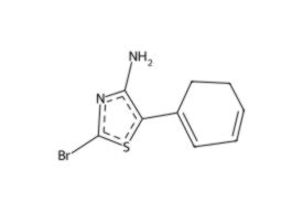 Nc1nc(Br)sc1C1=CC=CCC1